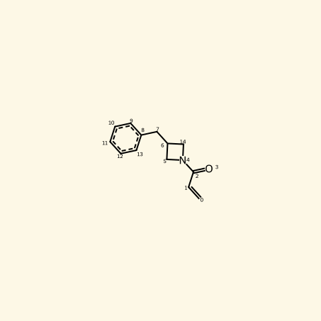 C=CC(=O)N1CC(Cc2ccccc2)C1